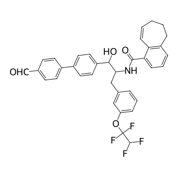 O=Cc1ccc(-c2ccc(C(O)C(Cc3cccc(OC(F)(F)C(F)F)c3)NC(=O)c3cccc4c3C=CCCC4)cc2)cc1